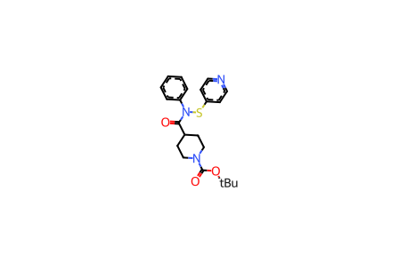 CC(C)(C)OC(=O)N1CCC(C(=O)N(Sc2ccncc2)c2ccccc2)CC1